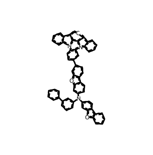 c1ccc(-c2cccc(N(c3ccc4c(c3)oc3ccccc34)c3ccc4c(c3)oc3cc(-c5ccc6c(c5)n5c7ccccc7c7ccc8c9ccccc9n6c8c75)ccc34)c2)cc1